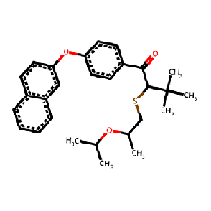 CC(C)OC(C)CSC(C(=O)c1ccc(Oc2ccc3ccccc3c2)cc1)C(C)(C)C